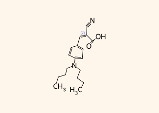 CCCCN(CCCC)c1ccc(/C=C(/C#N)C(=O)O)cc1